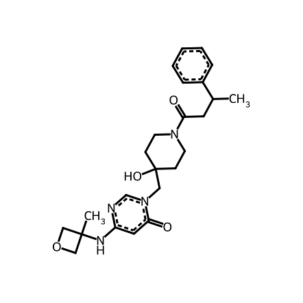 CC(CC(=O)N1CCC(O)(Cn2cnc(NC3(C)COC3)cc2=O)CC1)c1ccccc1